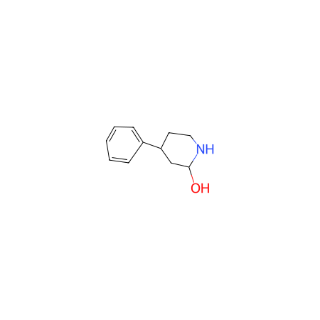 OC1CC(c2ccccc2)CCN1